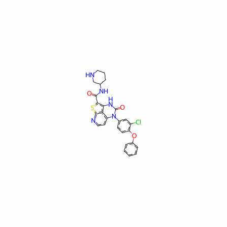 O=C(NC1CCCNC1)c1sc2nccc3c2c1NC(=O)N3c1ccc(Oc2ccccc2)c(Cl)c1